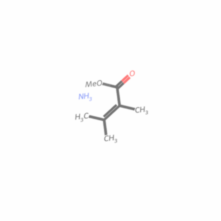 COC(=O)C(C)=C(C)C.N